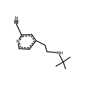 CC(C)(C)NCCc1ccnc(C#N)c1